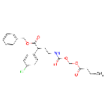 CCCC(=O)OCOC(=O)NCCC(C(=O)OCc1ccccc1)c1ccc(Cl)cc1